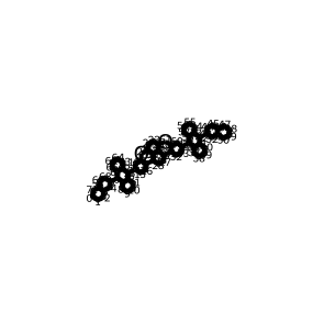 c1ccc2cc(-c3c4ccccc4c(-c4ccc5c(c4)Oc4ccc6c7c(ccc-5c47)-c4ccc(-c5c7ccccc7c(-c7ccc8ccccc8c7)c7ccccc57)cc4O6)c4ccccc34)ccc2c1